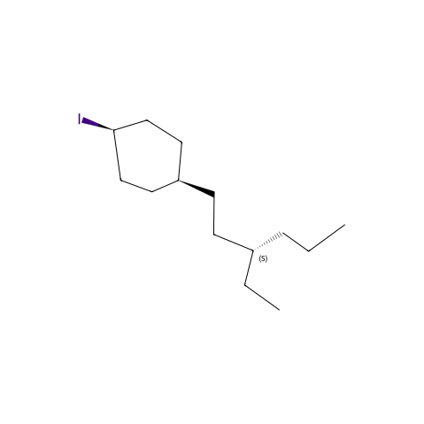 CCC[C@H](CC)CC[C@H]1CC[C@@H](I)CC1